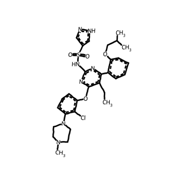 CCc1c(Oc2cccc(N3CCN(C)CC3)c2Cl)nc(NS(=O)(=O)c2cn[nH]c2)nc1-c1ccccc1OCC(C)C